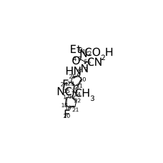 CCN(C(=O)O)C(=O)/C(C#N)=N\Nc1ccc(C(C)(C#N)c2ccc(F)cc2)c(F)c1